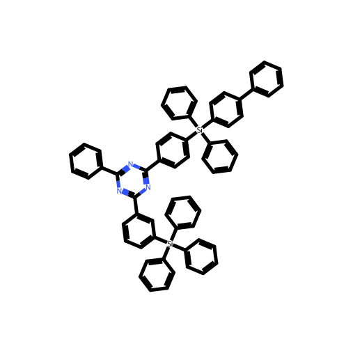 c1ccc(-c2ccc([Si](c3ccccc3)(c3ccccc3)c3ccc(-c4nc(-c5ccccc5)nc(-c5cccc([Si](c6ccccc6)(c6ccccc6)c6ccccc6)c5)n4)cc3)cc2)cc1